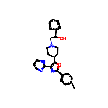 Cc1ccc(-c2nc(-c3ncccn3)c(C3CCN(CC(O)c4ccccc4)CC3)o2)cc1